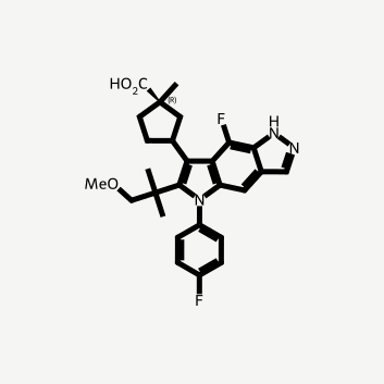 COCC(C)(C)c1c(C2CC[C@@](C)(C(=O)O)C2)c2c(F)c3[nH]ncc3cc2n1-c1ccc(F)cc1